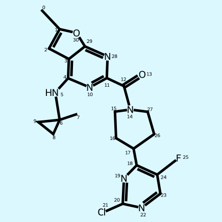 Cc1cc2c(NC3(C)CC3)nc(C(=O)N3CCC(c4nc(Cl)ncc4F)CC3)nc2o1